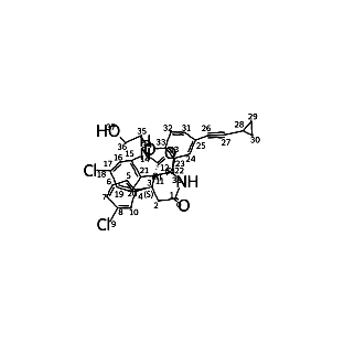 O=C1C[C@@H](c2cccc(Cl)c2)[C@]2(C(=O)Nc3cc(Cl)ccc32)[C@@H](c2cc(C#CC3CC3)ccc2OCCO)N1